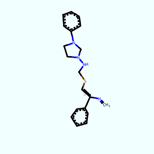 C=N/C(=C\SCNN1CCN(c2ccccc2)C1)c1ccccc1